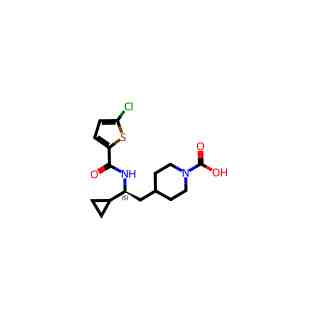 O=C(N[C@@H](CC1CCN(C(=O)O)CC1)C1CC1)c1ccc(Cl)s1